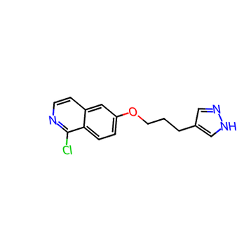 Clc1nccc2cc(OCCCc3cn[nH]c3)ccc12